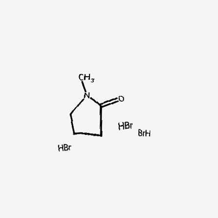 Br.Br.Br.CN1CCCC1=O